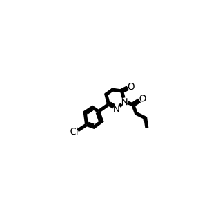 CCCC(=O)N1N=C(c2ccc(Cl)cc2)CCC1=O